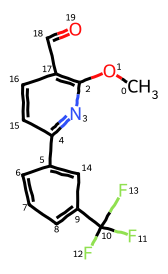 COc1nc(-c2cccc(C(F)(F)F)c2)ccc1C=O